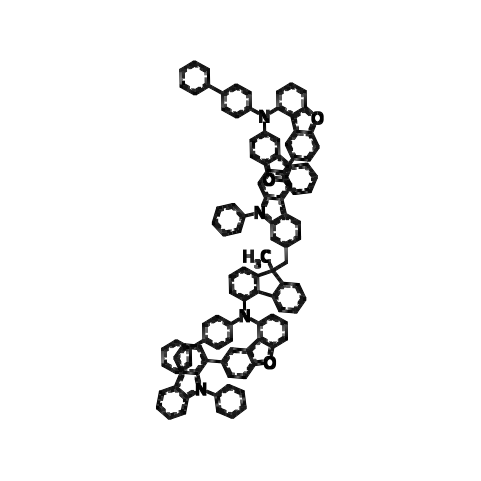 CC1(Cc2ccc3c4cc(-c5ccc6oc7cccc(N(c8ccc(-c9ccccc9)cc8)c8ccc9oc%10ccccc%10c9c8)c7c6c5)ccc4n(-c4ccccc4)c3c2)c2ccccc2-c2c(N(c3ccc(-c4ccccc4)cc3)c3cccc4oc5ccc(-c6cccc7c8ccccc8n(-c8ccccc8)c67)cc5c34)cccc21